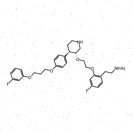 CC(=O)NCCc1ccc(F)cc1OCCO[C@H]1CNCC[C@@H]1c1ccc(OCCCOc2cccc(F)c2)cc1